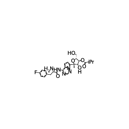 CC(C)C(=O)O[C@H]1[C@@H](O)[C@](C)(c2ccc3c(NC(=O)[C@@H](N)Cc4ccc(F)cc4)ncnn23)O[C@@H]1CO